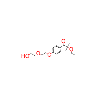 CCOC(C)(C)C(=O)c1ccc(OCCOCCO)cc1